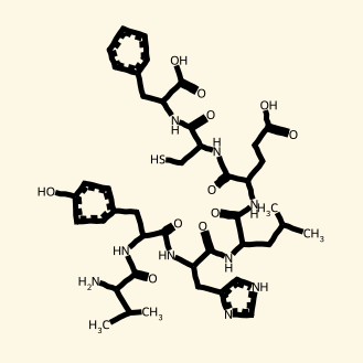 CC(C)CC(NC(=O)C(Cc1c[nH]cn1)NC(=O)C(Cc1ccc(O)cc1)NC(=O)C(N)C(C)C)C(=O)NC(CCC(=O)O)C(=O)NC(CS)C(=O)NC(Cc1ccccc1)C(=O)O